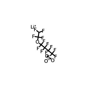 O=S(=O)([O-])C(F)(F)C(F)(F)C(F)(F)C(F)(F)OC(F)(F)C(F)F.[Li+]